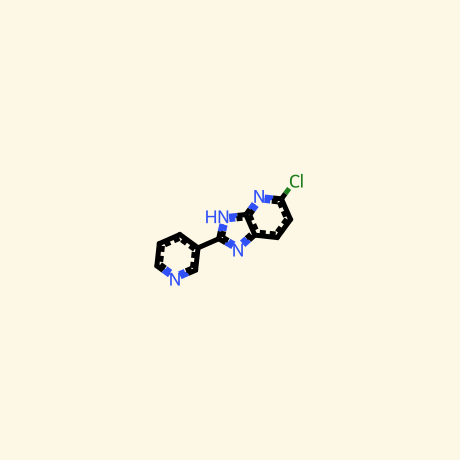 Clc1ccc2nc(-c3cccnc3)[nH]c2n1